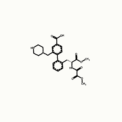 COC(=O)C(=O)N[C@H](Cc1ccccc1-c1ccc(C(=O)O)cc1CN1CCNCC1)C(=O)OC